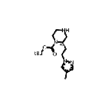 Cc1cnn(CC[C@@H]2CNCCN2C(=O)OC(C)(C)C)c1